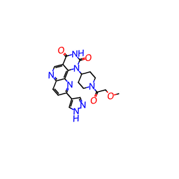 COCC(=O)N1CCC(n2c(=O)[nH]c(=O)c3cnc4ccc(-c5cn[nH]c5)nc4c32)CC1